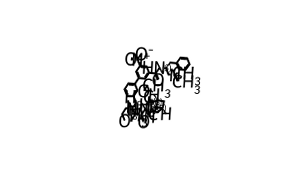 COc1c(CN2CCOC[C@H]2C(=O)N[C@H]2C[C@H]3C[C@@H]([C@@H]2C)C3(C)C)cccc1-c1cc(C(=O)N[C@@H](Cc2ccccc2)CN(C)C)cc([N+](=O)[O-])c1